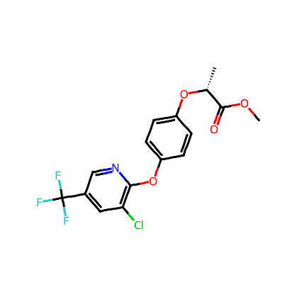 COC(=O)[C@@H](C)Oc1ccc(Oc2ncc(C(F)(F)F)cc2Cl)cc1